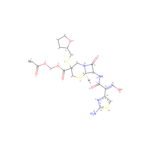 CC(C)(C)C(=O)OCOC(=O)C1(SCC2CCCO2)CS[C@@H]2C(NC(=O)C(=NO)c3csc(N)n3)C(=O)N2C1